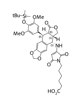 COc1cc([C@@H]2c3cc4c(cc3[C@@H](NC3=CC(=O)N(CCCCCC(=O)O)C3=O)[C@H]3COC(=O)[C@H]23)OCO4)cc(OC)c1O[Si](C)(C)C(C)(C)C